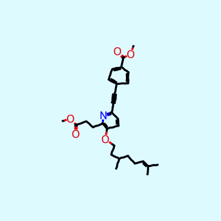 COC(=O)CCc1nc(C#Cc2ccc(C(=O)OC)cc2)ccc1OCCC(C)CCC=C(C)C